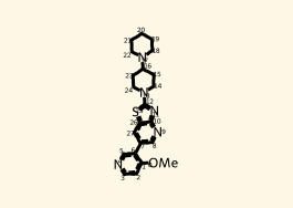 COc1ccncc1-c1cnc2nc(N3CCC(N4CCCCC4)CC3)sc2c1